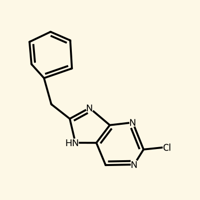 Clc1ncc2[nH]c(Cc3ccccc3)nc2n1